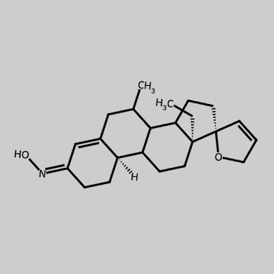 CC[C@]12CCC3C(C(C)CC4=CC(=NO)CC[C@@H]43)C1CC[C@@]21C=CCO1